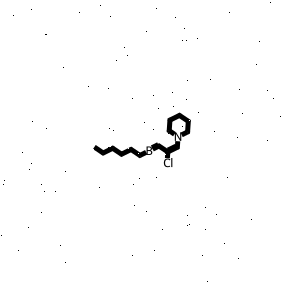 CCCCCC/B=C\C(Cl)=C/N1CCCCC1